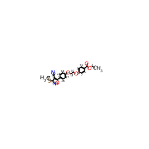 CCOC(=O)c1ccc(OCCOc2ccc(-c3onc(SC)c3C#N)cc2)cc1